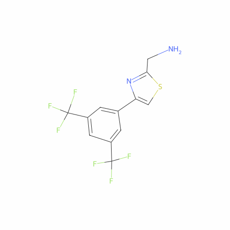 NCc1nc(-c2cc(C(F)(F)F)cc(C(F)(F)F)c2)cs1